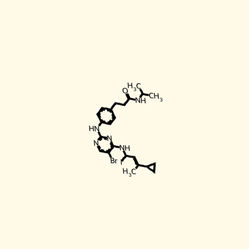 C/C(=C\C(I)Nc1nc(Nc2ccc(CCC(=O)NC(C)C)cc2)ncc1Br)C1CC1